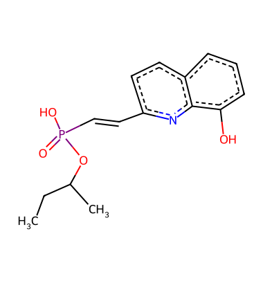 CCC(C)OP(=O)(O)C=Cc1ccc2cccc(O)c2n1